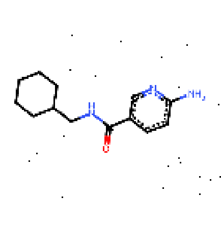 Nc1ccc(C(=O)NCC2CCCCC2)cn1